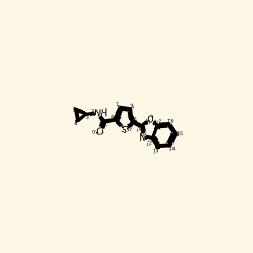 O=C(NC1CC1)c1ccc(-c2nc3ccccc3o2)s1